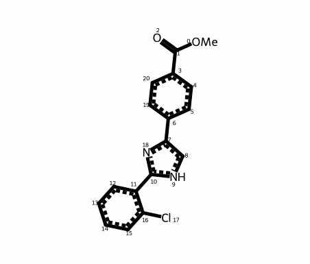 COC(=O)c1ccc(-c2c[nH]c(-c3ccccc3Cl)n2)cc1